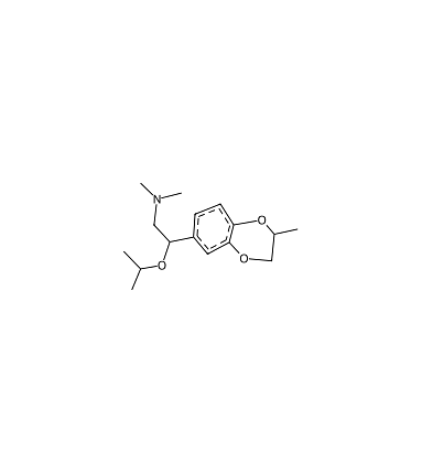 CC(C)OC(CN(C)C)c1ccc2c(c1)OCC(C)O2